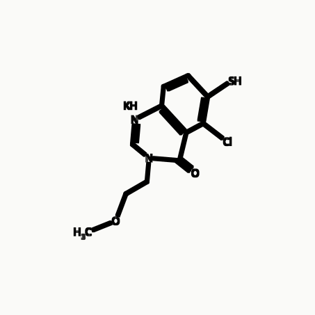 COCCn1cnc2ccc(S)c(Cl)c2c1=O.[KH]